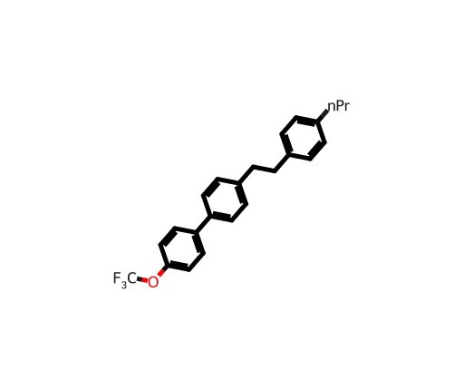 CCCc1ccc(CCc2ccc(-c3ccc(OC(F)(F)F)cc3)cc2)cc1